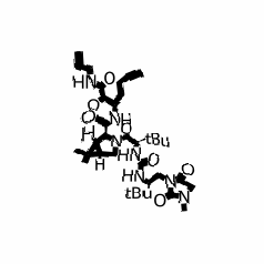 C#CCCC(NC(=O)[C@@H]1[C@@H]2[C@H](CN1C(=O)[C@@H](NC(=O)N[C@H](CN1C(=O)CN(C)C1=O)C(C)(C)C)C(C)(C)C)C2(C)C)C(=O)C(=O)NCC=C